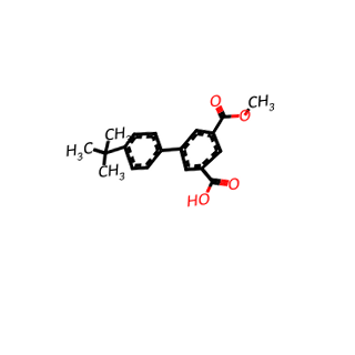 COC(=O)c1cc(C(=O)O)cc(-c2ccc(C(C)(C)C)cc2)c1